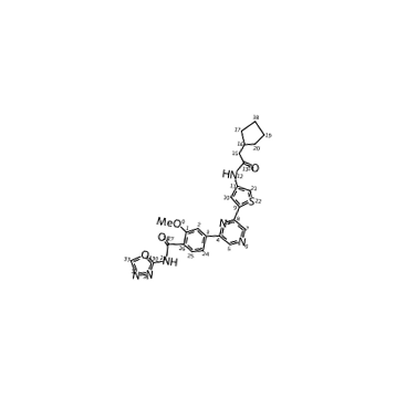 COc1cc(-c2cncc(-c3cc(NC(=O)CC4CCCC4)cs3)n2)ccc1C(=O)Nc1nnco1